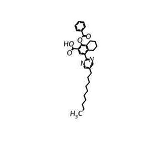 CCCCCCCCCCc1cnc(-c2cc(C(=O)O)c(OC(=O)c3ccccc3)c3c2CCCC3)nc1